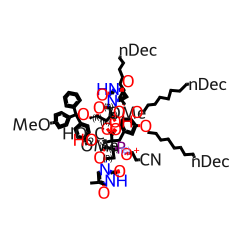 CCCCCCCCCCCCCCCCCCOc1cc(CC(CC(=O)O)(C(=O)O[C@@H]2[C@@H](COC(c3ccccc3)(c3ccc(OC)cc3)c3ccc(OC)cc3)O[C@@H](n3ccc(=O)[nH]c3=O)[C@@]2(O)OC)[C@@]2(/P=[O+]/CCC#N)C[C@H](n3cc(C)c(=O)[nH]c3=O)O[C@@H]2CO)cc(OCCCCCCCCCCCCCCCCCC)c1OCCCCCCCCCCCCCCCCCC